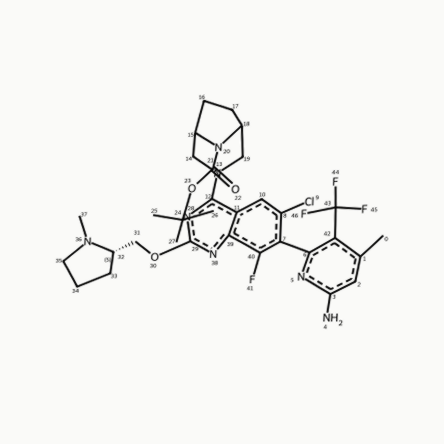 Cc1cc(N)nc(-c2c(Cl)cc3c(N4CC5CCC(C4)N5C(=O)OC(C)(C)C)nc(OC[C@@H]4CCCN4C)nc3c2F)c1C(F)(F)F